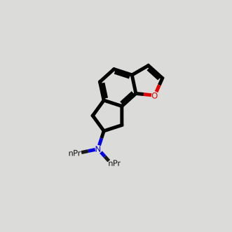 CCCN(CCC)C1Cc2ccc3ccoc3c2C1